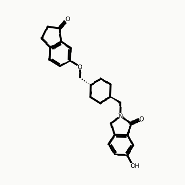 O=C1CCc2ccc(OC[C@H]3CC[C@H](CN4Cc5ccc(O)cc5C4=O)CC3)cc21